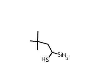 CC(C)(C)CC([SiH3])S